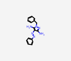 Nc1nn(Cc2ccccc2)c(N)c1/N=N/c1ccccc1